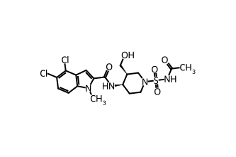 CC(=O)NS(=O)(=O)N1CC[C@@H](NC(=O)c2cc3c(Cl)c(Cl)ccc3n2C)[C@@H](CO)C1